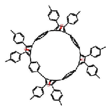 Cc1ccc(C2=C3C(=O)C(=C2c2ccc(C)cc2)c2ccc(cc2)C2=C(c4ccc(C)cc4)C(c4ccc(C)cc4)=C(C2=O)c2ccc(cc2)C2=C(c4ccc(C)cc4)C(c4ccc(C)cc4)=C(C2=O)c2ccc(cc2)C2=C(c4ccc(C)cc4)C(c4ccc(C)cc4)=C(C2=O)c2ccc3cc2)cc1